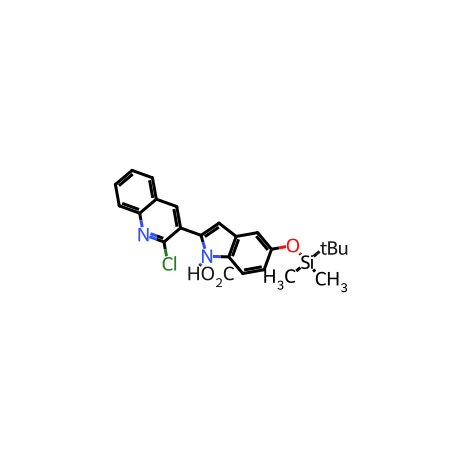 CC(C)(C)[Si](C)(C)Oc1ccc2c(c1)cc(-c1cc3ccccc3nc1Cl)n2C(=O)O